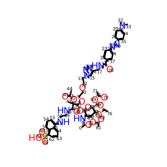 CC(=O)N[C@H]1[C@H](O[C@@H](OCCOCCn2cc(CNC(=O)c3ccc(/N=N/c4ccc(N(C)C)cc4)cc3)nn2)C(C)(OC(C)=O)C(=O)NCCNc2cccc3c(S(=O)(=O)O)cccc23)O[C@H](COC(C)=O)[C@@H](OC(C)=O)[C@@H]1OC(C)=O